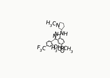 CN1CCCC(Nc2nnc(-c3ccc(C(F)(F)F)cc3O)c3cc(P(C)(C)=O)ccc23)C1